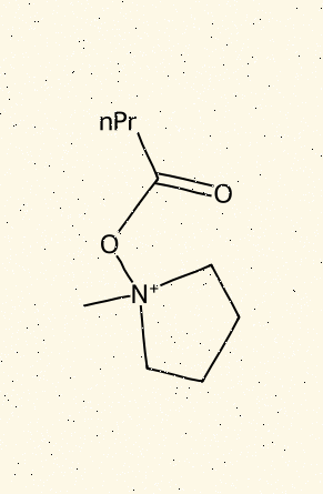 CCCC(=O)O[N+]1(C)CCCC1